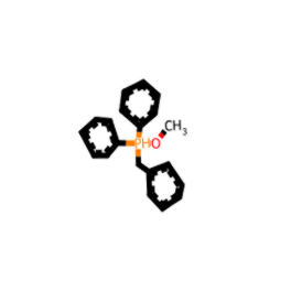 CO[PH](Cc1ccccc1)(c1ccccc1)c1ccccc1